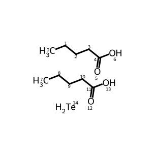 CCCCC(=O)O.CCCCC(=O)O.[TeH2]